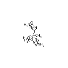 CC1C(CCc2cnc3cc(Cl)c(N)nc3c2)C2OC(C)(C)OC2C1n1ccc2c(N)ncnc21